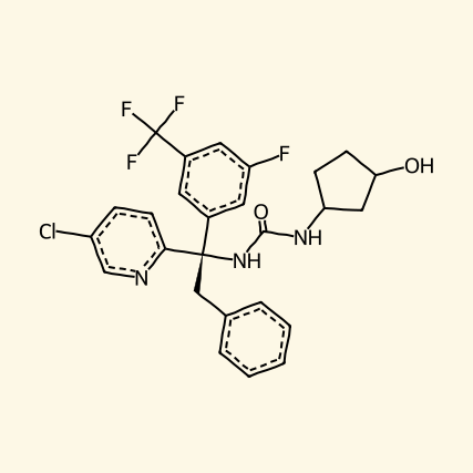 O=C(NC1CCC(O)C1)N[C@@](Cc1ccccc1)(c1cc(F)cc(C(F)(F)F)c1)c1ccc(Cl)cn1